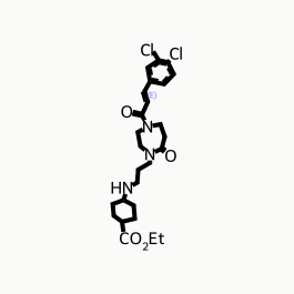 CCOC(=O)C1CCC(NCCCN2CCN(C(=O)/C=C/c3ccc(Cl)c(Cl)c3)CCC2=O)CC1